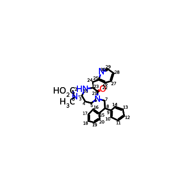 CN(C(=O)O)[C@H]1CCN(CC(c2ccccc2)c2ccccc2)C(=O)[C@H](Cc2ccccn2)N1